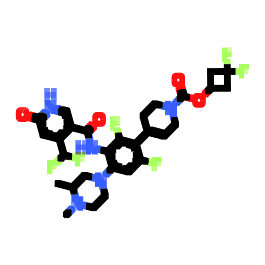 CC1CN(c2cc(F)c(C3=CCN(C(=O)OC4CC(F)(F)C4)CC3)c(F)c2NC(=O)c2c[nH]c(=O)cc2C(F)F)CCN1C